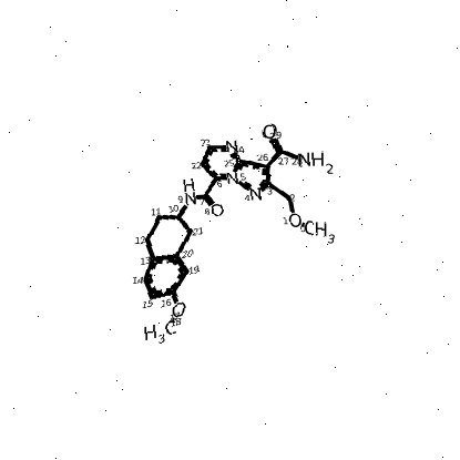 COCc1nn2c(C(=O)NC3CCc4ccc(OC)cc4C3)ccnc2c1C(N)=O